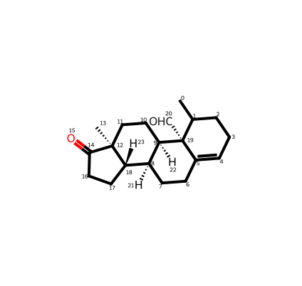 CC1CCC=C2CC[C@@H]3[C@@H](CC[C@]4(C)C(=O)CC[C@@H]34)[C@]21C=O